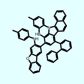 Cc1ccc(Nc2cc3oc4ccccc4c3cc2-c2cc(-c3ccccc3-c3ccccc3)c3c4ccc5ccccc5c4n4c3c2Bc2cc(C)ccc2-4)cc1